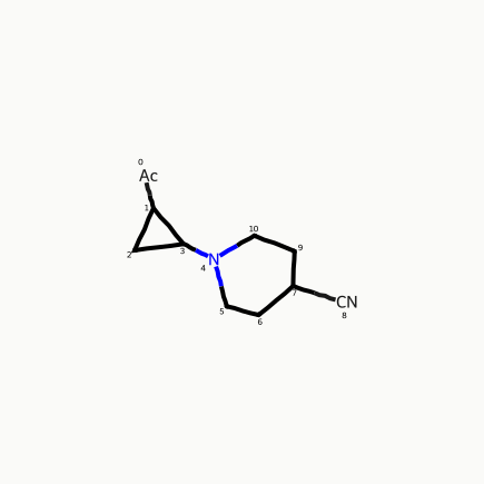 CC(=O)C1CC1N1CCC(C#N)CC1